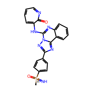 C[S@@](=N)(=O)c1ccc(-c2nc3c4ccccc4nc(Nc4ccccnc4=O)n3n2)cc1